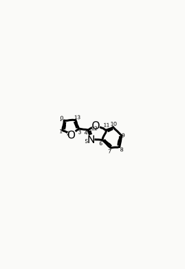 [c]1coc(-c2nc3ccccc3o2)c1